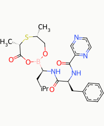 CC(C)C[C@H](NC(=O)[C@H](Cc1ccccc1)NC(=O)c1cnccn1)B1OC[C@@H](C)S[C@@H](C)C(=O)O1